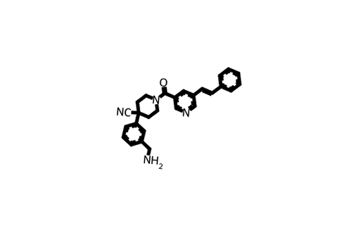 N#CC1(c2cccc(CN)c2)CCN(C(=O)c2cncc(C=Cc3ccccc3)c2)CC1